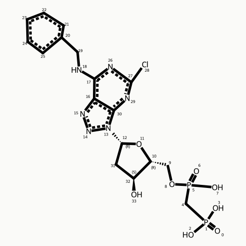 O=P(O)(O)CP(=O)(O)OC[C@H]1O[C@@H](n2nnc3c(NCc4ccccc4)nc(Cl)nc32)C[C@@H]1O